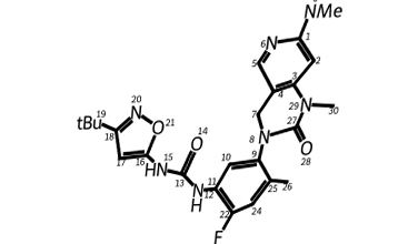 CNc1cc2c(cn1)CN(c1cc(NC(=O)Nc3cc(C(C)(C)C)no3)c(F)cc1C)C(=O)N2C